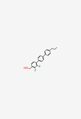 CCCc1ccc(-c2ccc(-c3ccc(CO)c(F)c3F)cc2)cc1